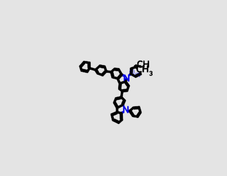 C#C/C=C(\C=C/C)n1c2ccc(-c3ccc(-c4ccccc4)cc3)cc2c2cc(-c3ccc4c5ccccc5n(-c5ccccc5)c4c3)ccc21